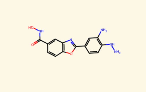 NNc1ccc(-c2nc3cc(C(=O)NO)ccc3o2)cc1N